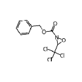 O=C(OCc1ccccc1)N1OC1C(Cl)(Cl)Cl